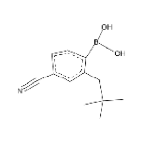 CC(C)(C)Cc1cc(C#N)ccc1B(O)O